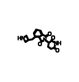 O=C1CCC(N2C(=O)c3cccc(CC4CNC4)c3C2=O)C(=O)N1